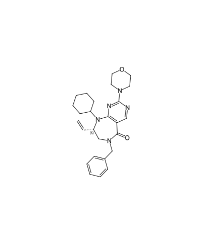 C=C[C@H]1CN(Cc2ccccc2)C(=O)c2cnc(N3CCOCC3)nc2N1C1CCCCC1